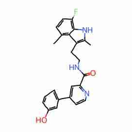 Cc1[nH]c2c(F)ccc(C)c2c1CCNC(=O)c1cc(-c2cccc(O)c2)ccn1